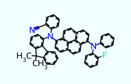 CC1(C)c2ccccc2-c2c(N(c3ccccc3C#N)c3ccc4ccc5c(N(c6ccccc6)c6ccccc6F)ccc6ccc3c4c65)cccc21